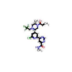 C=CC(=O)N1C[C@@H](c2cc(Cl)nc(-c3cc(C(=O)NC)ncn3)c2)N(CC(F)(F)F)C[C@@H]1C